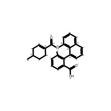 Cc1cccc(C(=O)O)c1-c1cccc2cccc(OC(=O)C3=CCC(C)CC3)c12